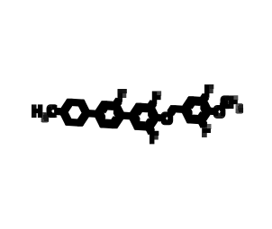 CC1CCC(c2ccc(-c3cc(F)c(OCc4cc(F)c(OC(F)(F)F)c(F)c4)c(F)c3)c(F)c2)CC1